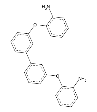 Nc1ccccc1Oc1cccc(-c2cccc(Oc3ccccc3N)c2)c1